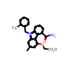 Cc1cc(OCC(=O)O)c2c3c(C(N)=O)cccc3n(Cc3ccccc3C(F)(F)F)c2c1